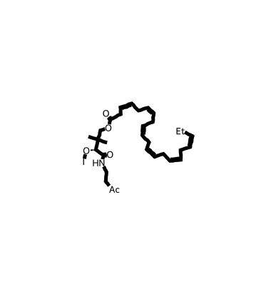 CC/C=C\C/C=C\C/C=C\C/C=C\C/C=C\C/C=C\CC(=O)OCC(C)(C)[C@@H](OI)C(=O)NCCC(C)=O